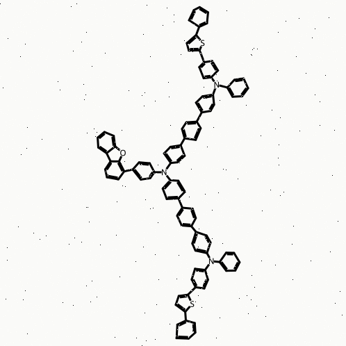 c1ccc(-c2ccc(-c3ccc(N(c4ccccc4)c4ccc(-c5ccc(-c6ccc(N(c7ccc(-c8ccc(-c9ccc(N(c%10ccccc%10)c%10ccc(-c%11ccc(-c%12ccccc%12)s%11)cc%10)cc9)cc8)cc7)c7ccc(-c8cccc9c8oc8ccccc89)cc7)cc6)cc5)cc4)cc3)s2)cc1